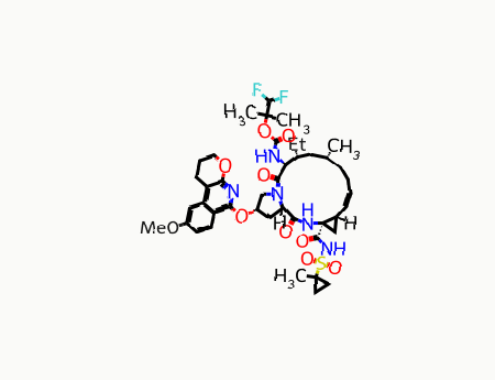 CC[C@@H]1C[C@H](C)CC/C=C\[C@@H]2C[C@@]2(C(=O)NS(=O)(=O)C2(C)CC2)NC(=O)[C@@H]2C[C@@H](Oc3nc4c(c5cc(OC)ccc35)CCCO4)CN2C(=O)[C@H]1NC(=O)OC(C)(C)C(F)F